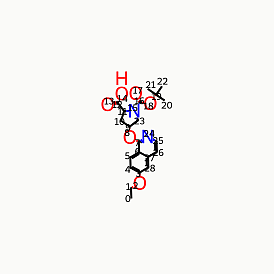 CCOc1ccc2c(O[C@@H]3CC(C(=O)O)N(C(=O)OC(C)(C)C)C3)nccc2c1